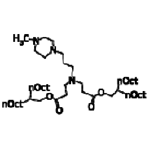 CCCCCCCCC(CCCCCCCC)COC(=O)CCN(CCCN1CCN(C)CC1)CCC(=O)OCC(CCCCCCCC)CCCCCCCC